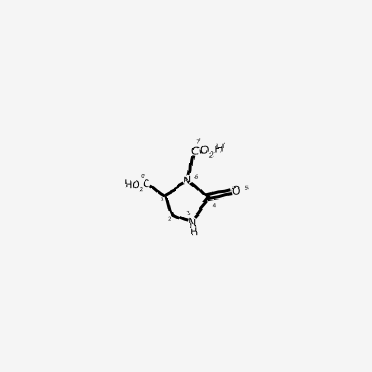 O=C(O)C1CNC(=O)N1C(=O)O